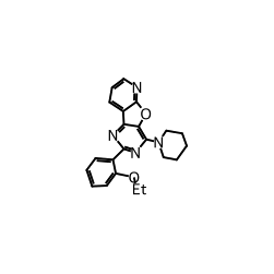 CCOc1ccccc1-c1nc(N2CCCCC2)c2oc3ncccc3c2n1